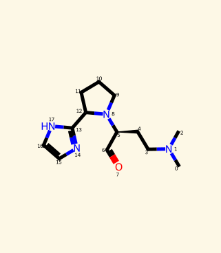 CN(C)CC[C@@H]([C]=O)N1CCCC1c1nc[c][nH]1